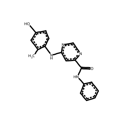 Cc1cc(O)ccc1Nc1cc(C(=O)Nc2ccccc2)ncn1